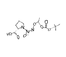 CC(O/N=[N+](/[O-])N1CCC[C@H]1C(=O)O)OC(=O)OC(C)(C)C